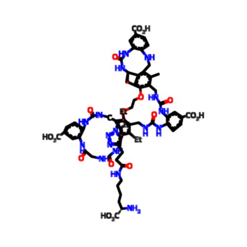 CCc1c2c(CC)c(CNC(=O)Nc3ccc(C(=O)O)cc3NC(=O)NCc3c(C)c4c5c(c3OCCOCCn3cc(CCC(=O)NCCCC[C@H](N)C(=O)O)nn3)CC5(C)NC(=O)Nc3cc(C(=O)O)ccc3NC4)c(CC)c1CNC(=O)Nc1ccc(C(=O)O)cc1NC(=O)CNC(=O)NC2